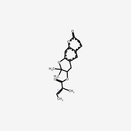 C/C=C(\C)C(=O)OC1Cc2cc3ccc(=O)oc3cc2OC1(C)C